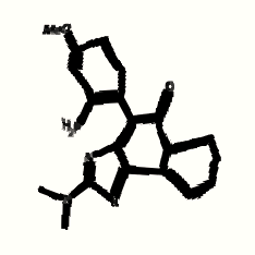 COc1ccc(C2=C3N=C(N(C)C)N=C3C3=CCCC=C3C2=O)c(P)c1